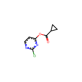 O=C(Oc1ccnc(Cl)n1)C1CC1